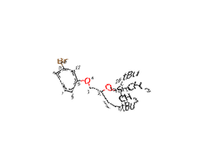 CC(C)(C)[CH]C(COc1cccc(Br)c1)O[Si](C)(C)C(C)(C)C